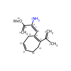 C=C(C)C1=C(/C=C(/N)C(=C)OC)CC=CCC1